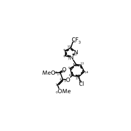 CO/C=C(\Oc1cc(-n2ccc(C(F)(F)F)n2)ccc1Cl)C(=O)OC